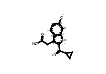 O=C(O)Cc1c(C(=O)C2CC2)[nH]c2cc(Cl)ccc12